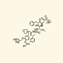 CC(C)C[C@H](NC(=O)[C@H](Cc1ccccc1)NC(=O)[C@H](C)NC(=O)[C@H](CCc1ccccc1)NC(=O)C[N+]1(Cc2ccc(OC(=O)C(C)C)c(OCc3c[nH]nn3)c2)CCOCC1)C(=O)[C@@]1(C)CO1